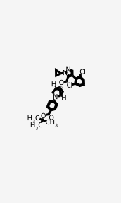 CC(C)(C)OC(=O)c1ccc(N2C[C@@H]3C[C@H]2C[C@H]3OCc2c(-c3c(Cl)cccc3Cl)cnn2C2CC2)cc1